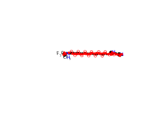 CN(C)c1ccc(C=Cc2nc3ccc(OCCC(=O)CCC(=O)CCC(=O)CCC(=O)CCC(=O)CCC(=O)CCC(=O)CCC(=O)CCC(=O)CCC(=O)CCC(=O)CCNCc4cc(C(F)(F)F)cc(C(F)(F)F)c4)cc3o2)cc1